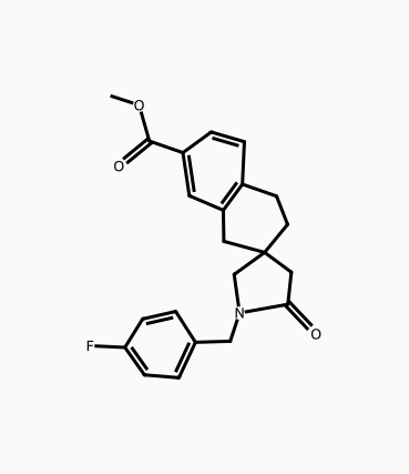 COC(=O)c1ccc2c(c1)CC1(CC2)CC(=O)N(Cc2ccc(F)cc2)C1